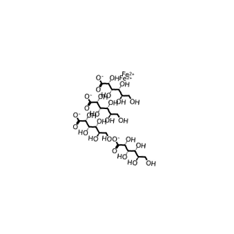 O=C([O-])[C@H](O)[C@@H](O)[C@H](O)[C@H](O)CO.O=C([O-])[C@H](O)[C@@H](O)[C@H](O)[C@H](O)CO.O=C([O-])[C@H](O)[C@@H](O)[C@H](O)[C@H](O)CO.O=C([O-])[C@H](O)[C@@H](O)[C@H](O)[C@H](O)CO.[Fe+2].[Fe+2]